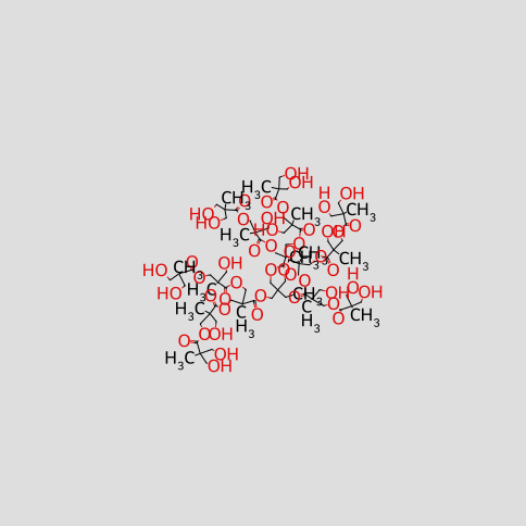 CCC(COC(=O)C(C)(COC(=O)C(C)(CO)COC(=O)C(C)(CO)CO)COC(=O)C(C)(CO)COC(=O)C(C)(CO)CO)(COC(=O)C(C)(COC(=O)C(C)(CO)COC(=O)C(C)(CO)CO)COC(=O)C(C)(CO)COC(=O)C(C)(CO)CO)COC(=O)C(C)(COC(=O)C(C)(CO)COC(=O)C(C)(CO)CO)COC(=O)C(C)(CO)COC(=O)C(C)(CO)CO